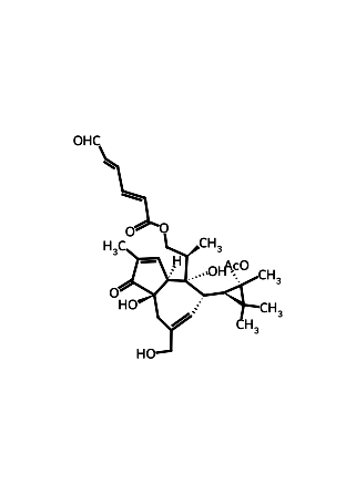 CC(=O)O[C@@]1(C)[C@H]([C@@H]2C=C(CO)C[C@]3(O)C(=O)C(C)=C[C@H]3[C@@]2(O)[C@H](C)COC(=O)/C=C/C=C/C=O)C1(C)C